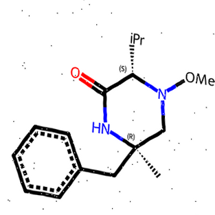 CON1C[C@@](C)(Cc2ccccc2)NC(=O)[C@@H]1C(C)C